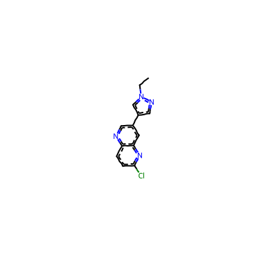 CCn1cc(-c2cnc3ccc(Cl)nc3c2)cn1